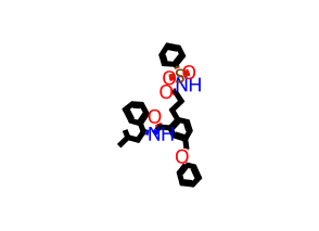 CC(C)CC(NC(=O)c1cc(COc2ccccc2)ccc1CCC(=O)NS(=O)(=O)c1ccccc1)c1ccccc1